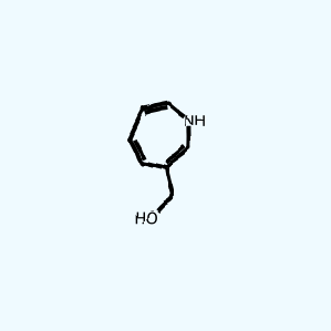 OCC1=CNC=CC=C1